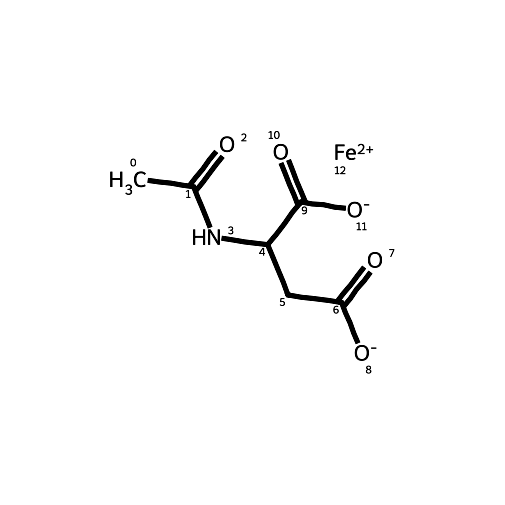 CC(=O)NC(CC(=O)[O-])C(=O)[O-].[Fe+2]